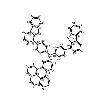 c1ccc2c(c1)ccc1cccc(-c3ccc(N(c4ccc(-c5cccc6c5sc5ccccc56)cc4)c4ccc(-c5cccc6c5sc5ccccc56)cc4)cc3)c12